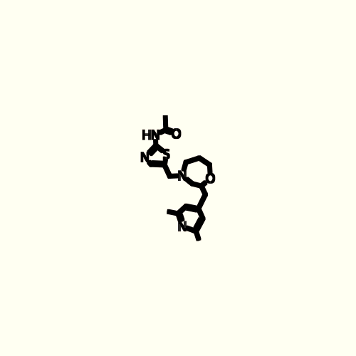 CC(=O)Nc1ncc(CN2CCCOC(Cc3cc(C)nc(C)c3)C2)s1